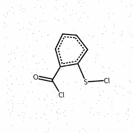 O=C(Cl)c1ccccc1SCl